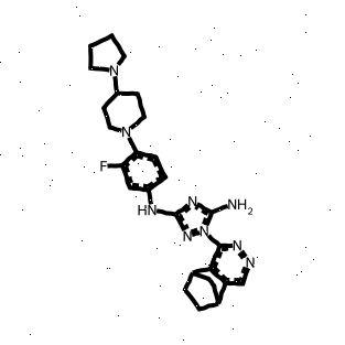 Nc1nc(Nc2ccc(N3CCC(N4CCCC4)CC3)c(F)c2)nn1-c1nncc2c1C1CCC2CC1